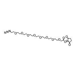 [N-]=[N+]=NCCOCCOCCOCCOCCOCCOCCOCCOCC(=O)ON1C(=O)CCC1=O